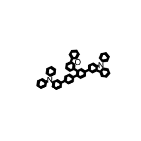 c1ccc(N(c2ccccc2)c2cccc(-c3ccc(-c4ccc(-c5ccc6c(c5)c5ccccc5n6-c5ccccc5)cc4-c4cccc5c4oc4ccccc45)cc3)c2)cc1